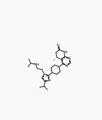 CC(C)NCCn1cc(C(C)C)nc1C1CCN(c2ncnc3c2[C@H](C)CC(=O)N3)CC1